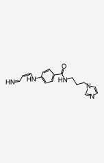 N=C/C=C\Nc1ccc(C(=O)NCCCn2ccnc2)cc1